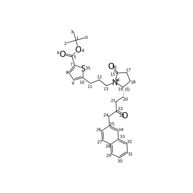 CC(C)(C)OC(=O)c1ccc(CCCN2C(=O)CC[C@@H]2CCC(=O)Cc2ccc3ccccc3c2)s1